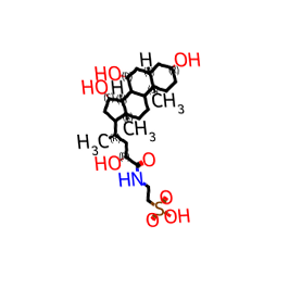 C[C@H](C[C@@H](O)C(=O)NCCS(=O)(=O)O)C1C[C@H](O)[C@H]2C3C(CC[C@]12C)[C@@]1(C)CC[C@@H](O)C[C@H]1C[C@H]3O